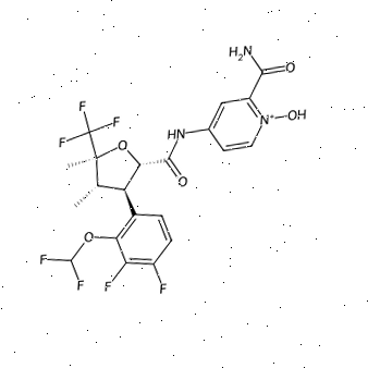 C[C@H]1[C@H](c2ccc(F)c(F)c2OC(F)F)[C@@H](C(=O)Nc2cc[n+](O)c(C(N)=O)c2)O[C@]1(C)C(F)(F)F